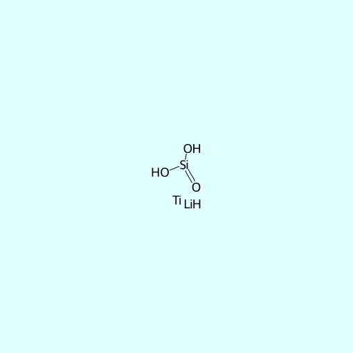 O=[Si](O)O.[LiH].[Ti]